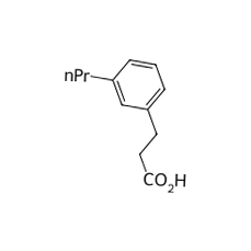 CCCc1cccc(CCC(=O)O)c1